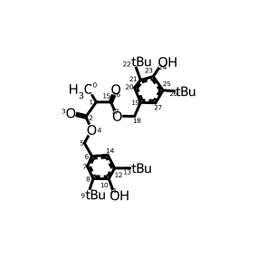 CC(C(=O)OCc1cc(C(C)(C)C)c(O)c(C(C)(C)C)c1)C(=O)OCc1cc(C(C)(C)C)c(O)c(C(C)(C)C)c1